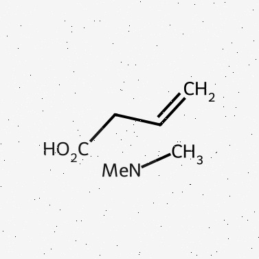 C=CCC(=O)O.CNC